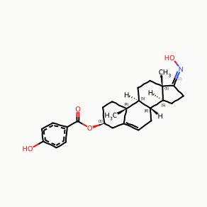 C[C@]12CC[C@H](OC(=O)c3ccc(O)cc3)CC1=CC[C@@H]1[C@@H]2CC[C@]2(C)/C(=N\O)CC[C@@H]12